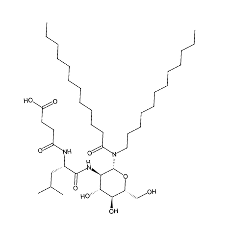 CCCCCCCCCCCCN(C(=O)CCCCCCCCCCC)[C@@H]1O[C@H](CO)[C@@H](O)[C@H](O)[C@H]1NC(=O)[C@H](CC(C)C)NC(=O)CCC(=O)O